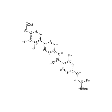 CCCCCCCCOc1ccc(-c2ccc(OC(=O)c3ccc(OC[C@@H](F)CCCCCC)cc3F)cc2)c(F)c1F